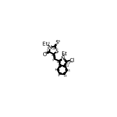 CCN1C(=O)C(=Cc2c3ccccc3c(Cl)n2CC)SC1=S